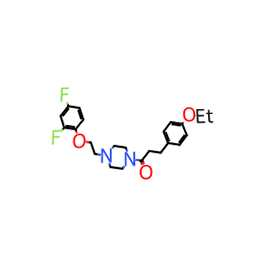 CCOc1ccc(CCC(=O)N2CCN(CCOc3ccc(F)cc3F)CC2)cc1